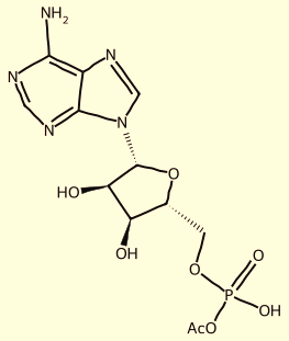 CC(=O)OP(=O)(O)OC[C@H]1O[C@@H](n2cnc3c(N)ncnc32)[C@H](O)[C@@H]1O